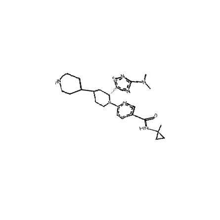 CN(C)c1nsc([C@H]2CC(C3CCNCC3)CCN2c2ccc(C(=O)NC3(C)CC3)cn2)n1